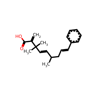 C=C(C(=O)O)C(C)(C)C=CC(C)CC=Cc1ccccc1